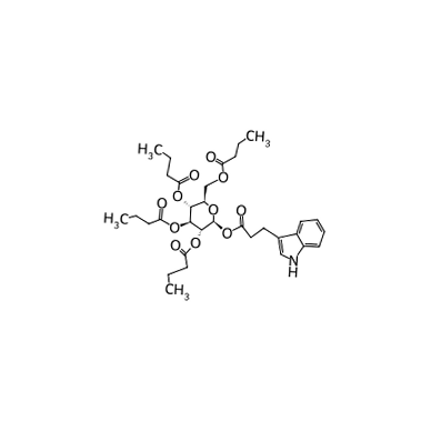 CCCC(=O)OC[C@H]1O[C@@H](OC(=O)CCc2c[nH]c3ccccc23)[C@H](OC(=O)CCC)[C@@H](OC(=O)CCC)[C@@H]1OC(=O)CCC